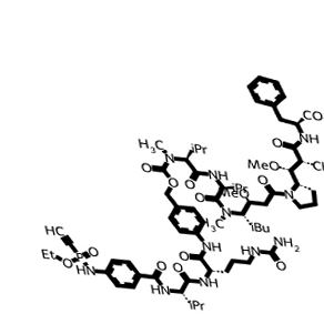 C#CP(=O)(Nc1ccc(C(=O)N[C@H](C(=O)N[C@@H](CCCNC(N)=O)C(=O)Nc2ccc(COC(=O)N(C)[C@H](C(=O)N[C@H](C(=O)N(C)[C@@H](C(C)CC)[C@@H](CC(=O)N3CCC[C@H]3[C@H](OC)[C@@H](C)C(=O)N[C@@H](Cc3ccccc3)C(=O)O)OC)C(C)C)C(C)C)cc2)C(C)C)cc1)OCC